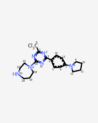 ClC(Cl)(Cl)c1nc(-c2ccc(N3CCCC3)cc2)nc(N2CCCNCC2)n1